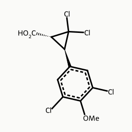 COc1c(Cl)cc([C@H]2[C@H](C(=O)O)C2(Cl)Cl)cc1Cl